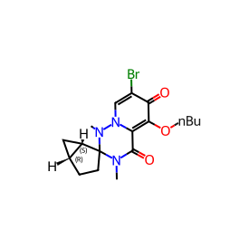 CCCCOc1c2n(cc(Br)c1=O)N(C)C1(CC[C@@H]3C[C@@H]31)N(C)C2=O